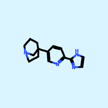 c1c[nH]c(-c2ccc(C34CCCN(CC3)C4)cn2)n1